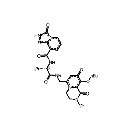 CCCCOc1c2n(c(CNC(=O)[C@@H](NC(=O)c3cccn4c(=O)[nH]nc34)C(C)C)cc1=O)CCN(C(C)C)C2=O